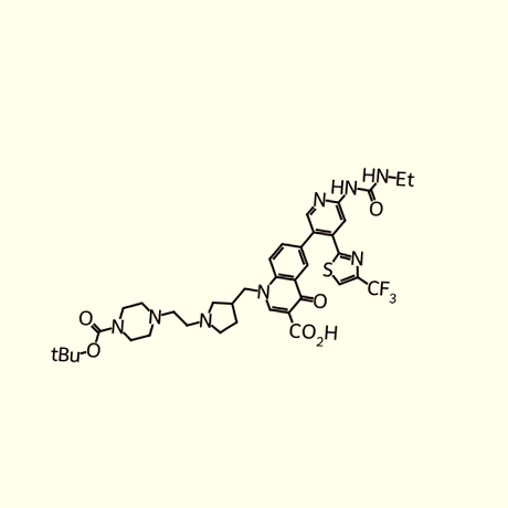 CCNC(=O)Nc1cc(-c2nc(C(F)(F)F)cs2)c(-c2ccc3c(c2)c(=O)c(C(=O)O)cn3CC2CCN(CCN3CCN(C(=O)OC(C)(C)C)CC3)C2)cn1